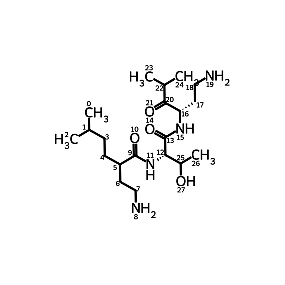 CC(C)CCC(CCN)C(=O)N[C@H](C(=O)N[C@@H](CCN)C(=O)C(C)C)C(C)O